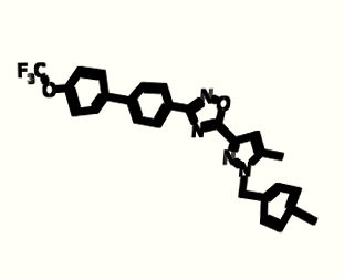 Cc1ccc(Cn2nc(-c3nc(-c4ccc(-c5ccc(OC(F)(F)F)cc5)cc4)no3)cc2C)cc1